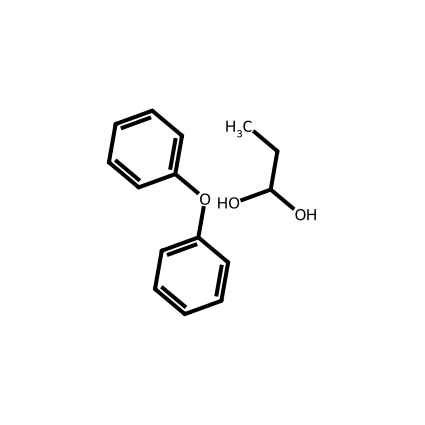 CCC(O)O.c1ccc(Oc2ccccc2)cc1